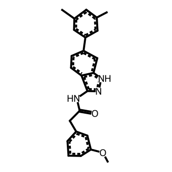 COc1cccc(CC(=O)Nc2n[nH]c3cc(-c4cc(C)cc(C)c4)ccc23)c1